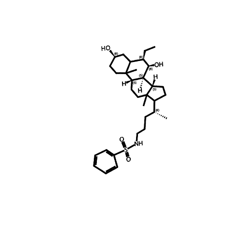 CC[C@@H]1C2C[C@H](O)CCC2(C)[C@H]2CCC3(C)C([C@H](C)CCCNS(=O)(=O)c4ccccc4)CC[C@H]3[C@@H]2[C@@H]1O